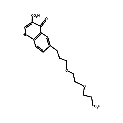 O=C(O)CCOCCOCCCc1ccc2[nH]cc(C(=O)O)c(=O)c2c1